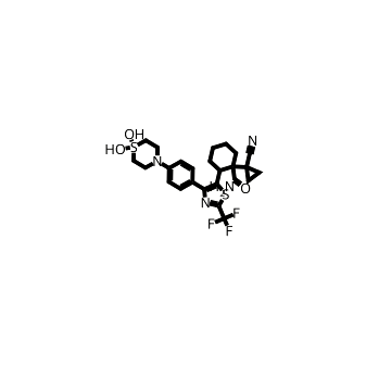 N#CC1(C2(C(N)=O)CCCCC2c2sc(C(F)(F)F)nc2-c2ccc(N3CCS(O)(O)CC3)cc2)CC1